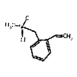 C=Cc1ccccc1C[Si](C)(Cl)Cl